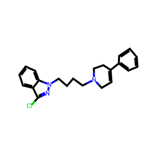 Clc1nn(CCCCN2CC=C(c3ccccc3)CC2)c2ccccc12